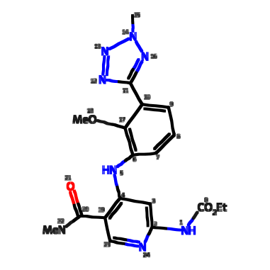 CCOC(=O)Nc1cc(Nc2cccc(-c3nnn(C)n3)c2OC)c(C(=O)NC)cn1